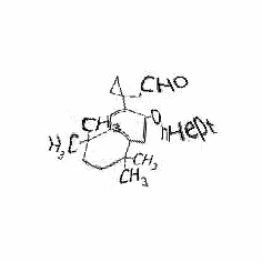 CCCCCCCOc1cc2c(cc1C1(CC=O)CC1)C(C)(C)CCC2(C)C